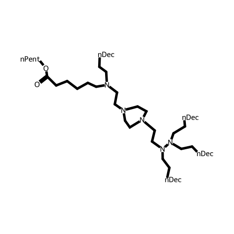 CCCCCCCCCCCCN(CCCCCC(=O)OCCCCC)CCN1CCN(CCN(CCCCCCCCCCCC)N(CCCCCCCCCCCC)CCCCCCCCCCCC)CC1